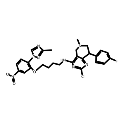 Cc1ncn(-c2ccc([N+](=O)[O-])cc2OCCCCNc2nc(Cl)nc3c2CN(C)CC3c2ccc(F)cc2)n1